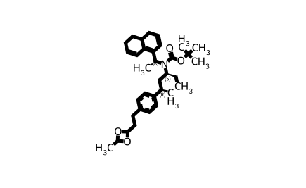 CC[C@@H](C[C@@H](C)c1ccc(CCC2OC(C)O2)cc1)N(C(=O)OC(C)(C)C)[C@H](C)C1=C2C=CCCC2CC=C1